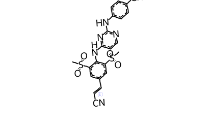 CS(=O)(=O)c1cc(/C=C/C#N)cc(S(C)(=O)=O)c1Nc1ccnc(Nc2ccc(C#N)cc2)n1